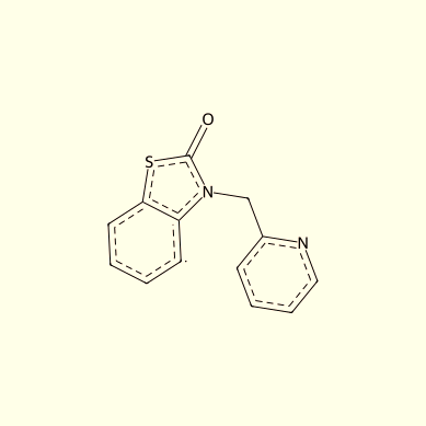 O=c1sc2ccc[c]c2n1Cc1ccccn1